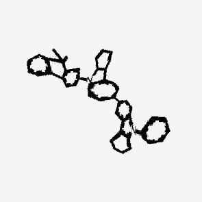 CC1(C)c2ccccc2-c2ccc(N3c4ccc(-c5ccc6c(c5)c5c(n6-c6ccccc6)=CCCC=5)cc4C4C=CC=CC43)cc21